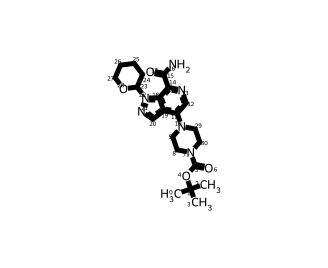 CC(C)(C)OC(=O)N1CCN(c2cnc(C(N)=O)c3c2cnn3C2CCCCO2)CC1